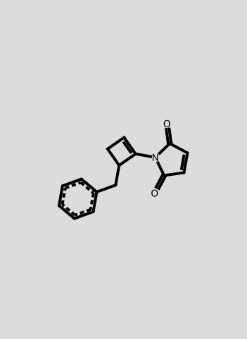 O=C1C=CC(=O)N1C1=CCC1Cc1ccccc1